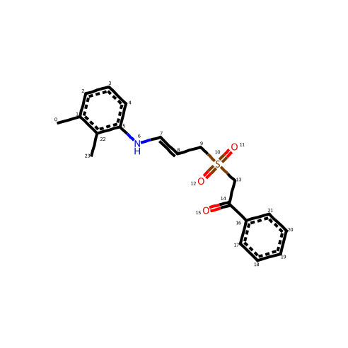 Cc1cccc(NC=CCS(=O)(=O)CC(=O)c2ccccc2)c1C